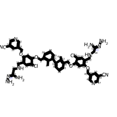 Cc1c(COc2cc(OCc3cncc(C#N)c3)c(CNC/C(N)=N/N)cc2Cl)cccc1-c1cccc(COc2cc(OCc3cncc(C#N)c3)c(CNC/C(N)=N/N)cc2Cl)c1C